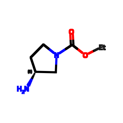 CCOC(=O)N1CC[C@@H](N)C1